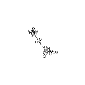 CC(C)(C)OC(=O)N[C@@H](Cc1ccccc1)C(=O)NCCCCCCNC(=O)CCCC[C@@H]1SC[C@@H]2NC(=O)N[C@@H]21